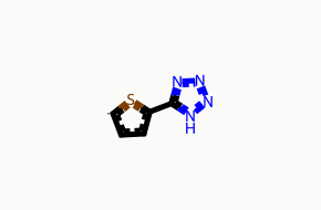 [c]1ccc(-c2nnn[nH]2)s1